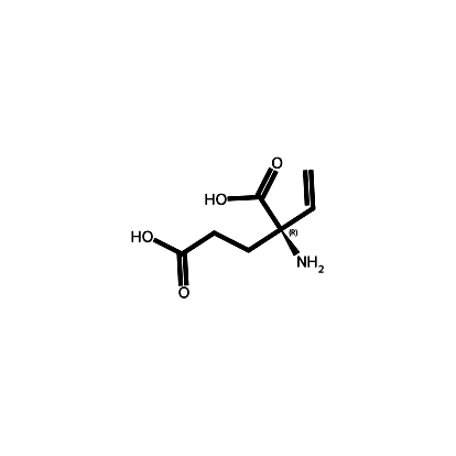 C=C[C@](N)(CCC(=O)O)C(=O)O